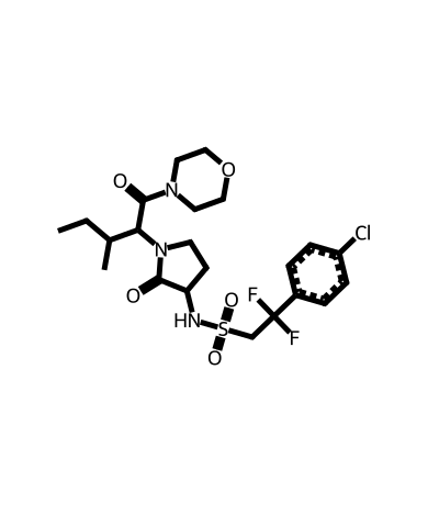 CCC(C)C(C(=O)N1CCOCC1)N1CCC(NS(=O)(=O)CC(F)(F)c2ccc(Cl)cc2)C1=O